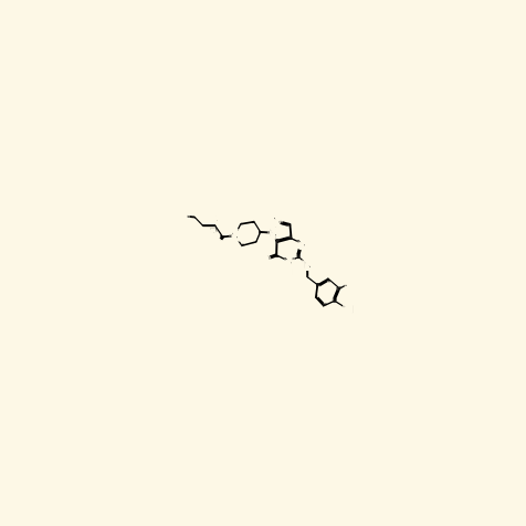 O=C([C@@H](O)CCO)N1CCC(n2ncc3nc(NCc4ccc(Cl)c(Cl)c4)[nH]c(=O)c32)CC1